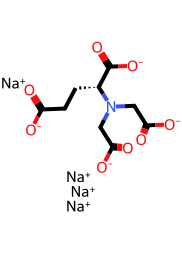 O=C([O-])CC[C@H](C(=O)[O-])N(CC(=O)[O-])CC(=O)[O-].[Na+].[Na+].[Na+].[Na+]